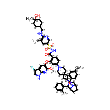 CCOc1nc2[nH]cc(F)c2cc1Oc1cc(N2CCC3(CC2)CC(N2CC4CCC([C@H]2c2ccccc2C(C)C)N4Cc2ccc(OC)cc2)C3)ccc1C(=O)NS(=O)(=O)c1cnc(NCC2CCC(C)(O)CC2)c([N+](=O)[O-])c1